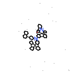 c1ccc2c(c1)-c1ccccc1C21c2ccccc2-c2ccc(N(c3ccc(-c4cccc5ccccc45)cc3)c3ccc4c(c3)-c3ccccc3C43c4ccccc4-n4c5ccccc5c5cccc3c54)cc21